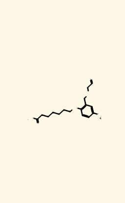 C=CCOCc1cc([N+](=O)[O-])ccc1OCCCCCCC(=O)OC